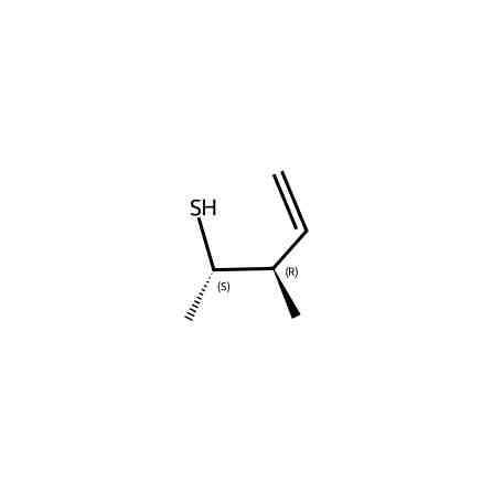 C=C[C@@H](C)[C@H](C)S